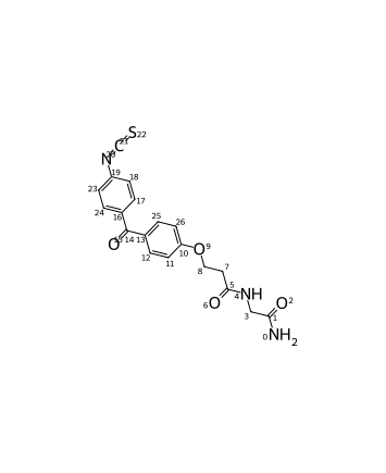 NC(=O)CNC(=O)CCOc1ccc(C(=O)c2ccc(N=C=S)cc2)cc1